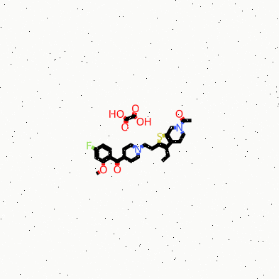 CCc1c(CCN2CCC(C(=O)c3ccc(F)cc3OC)CC2)sc2c1CCN(C(C)=O)C2.O=C(O)C(=O)O